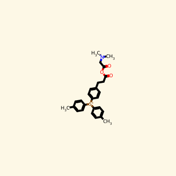 Cc1ccc([S+](c2ccc(C)cc2)c2ccc(CCC(=O)OC(=O)CN(C)C)cc2)cc1